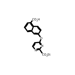 CCOC(=O)c1nccc(Oc2ccc3c(C(=O)O)cccc3c2)n1